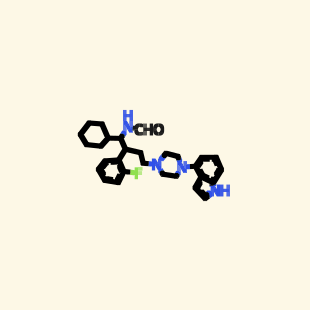 O=CNC(C1CCCCC1)C(CCN1CCN(c2cccc3[nH]ccc23)CC1)c1ccccc1F